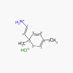 CC1=CCC(C)(C=CN)C=C1.Cl